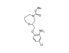 CC(C)(C)OC(=O)N1CCCOC(COc2ccc(Cl)cc2[N+](=O)[O-])C1